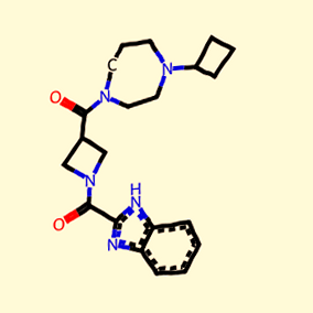 O=C(c1nc2ccccc2[nH]1)N1CC(C(=O)N2CCCN(C3CCC3)CC2)C1